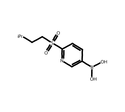 CC(C)CCS(=O)(=O)c1ccc(B(O)O)cn1